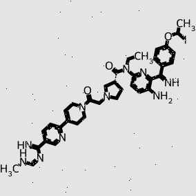 CCN(C(=O)[C@@H]1CCN(CC(=O)N2CC=C(c3ccc(C(=N)/N=C\NC)cn3)CC2)C1)c1ccc(N)c(C(=N)c2ccc(OC(C)I)cc2)n1